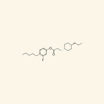 CCCCCc1ccc(OC(=O)CC[C@H]2CC[C@H](CCC)CC2)cc1F